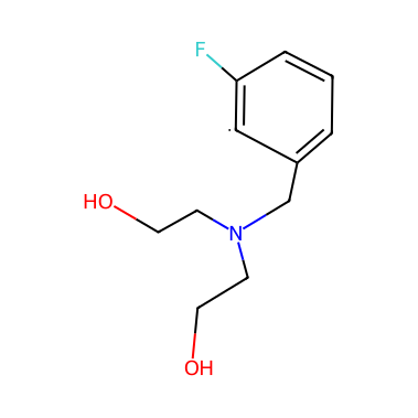 OCCN(CCO)Cc1[c]c(F)ccc1